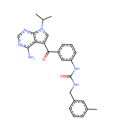 Cc1cccc(CNC(=O)Nc2cccc(C(=O)c3cn(C(C)C)c4ncnc(N)c34)c2)c1